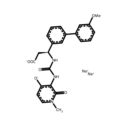 COc1cccc(-c2cccc([C@H](CC(=O)[O-])NC(=O)Nc3c([O-])ccn(C)c3=O)c2)c1.[Na+].[Na+]